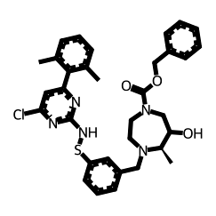 Cc1cccc(C)c1-c1cc(Cl)nc(NSc2cccc(CN3CCN(C(=O)OCc4ccccc4)CC(O)[C@H]3C)c2)n1